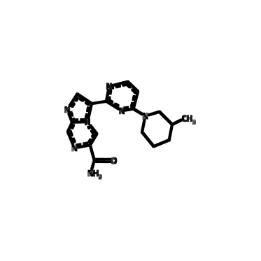 CC1CCCN(c2ccnc(-c3cnc4cnc(C(N)=O)cn34)n2)C1